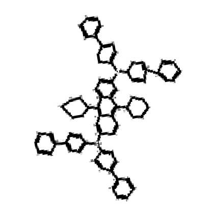 C1=CC(N(C2=CC=C(c3ccccc3)CC2)c2ccc3c(C4CCCCC4)c4cc(N(c5ccc(-c6ccccc6)cc5)c5ccc(-c6ccccc6)cc5)ccc4c(C4CCCCC4)c3c2)CC=C1c1ccccc1